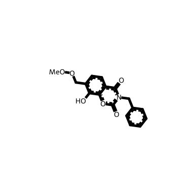 COOCc1ccc2c(=O)n(Cc3ccccc3)c(=O)oc2c1O